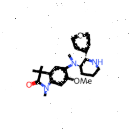 COc1cc2c(cc1N(C)[C@H]1CCCN[C@H]1c1ccccc1)C(C)(C)C(=O)N2C